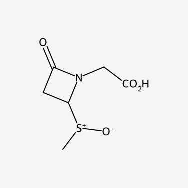 C[S+]([O-])C1CC(=O)N1CC(=O)O